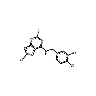 Clc1nc(NCc2ccc(Cl)c(Cl)c2)c2cc(Cl)sc2n1